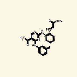 COC(=O)CN[C@H]1CCCC[C@H]1Nc1ncc(C(N)=O)c(Nc2cccc(C)c2)n1